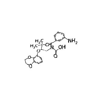 CC(C)(C)C(CN(Cc1cccc(N)c1)C(=O)O)Oc1cccc2c1OCCO2